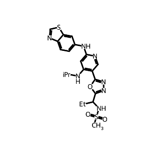 CCC(NS(C)(=O)=O)c1nnc(-c2cnc(Nc3ccc4ncsc4c3)cc2NC(C)C)o1